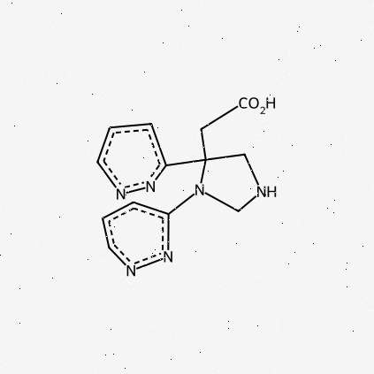 O=C(O)CC1(c2cccnn2)CNCN1c1cccnn1